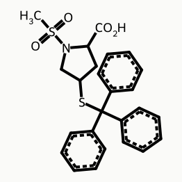 CS(=O)(=O)N1CC(SC(c2ccccc2)(c2ccccc2)c2ccccc2)CC1C(=O)O